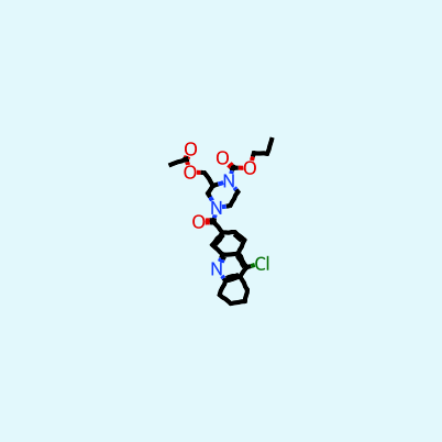 CCCOC(=O)N1CCN(C(=O)c2ccc3c(Cl)c4c(nc3c2)CCCC4)CC1COC(C)=O